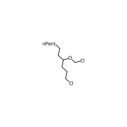 CCCCCCCC(CCCCl)OCCl